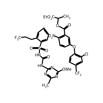 CCOC(=O)C(C)OC(=O)c1cc(Oc2ccc(C(F)(F)F)cc2Cl)ccc1[N+](=O)[O-].COc1nc(C)nc(NC(=O)NS(=O)(=O)c2ccccc2CCC(F)(F)F)n1